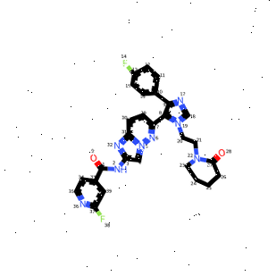 O=C(Nc1cn2nc(-c3c(-c4ccc(F)cc4)ncn3CCN3CCCCC3=O)ccc2n1)c1ccnc(F)c1